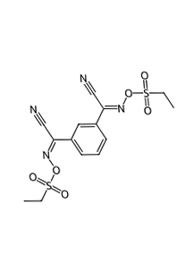 CCS(=O)(=O)O/N=C(\C#N)c1cccc(/C(C#N)=N\OS(=O)(=O)CC)c1